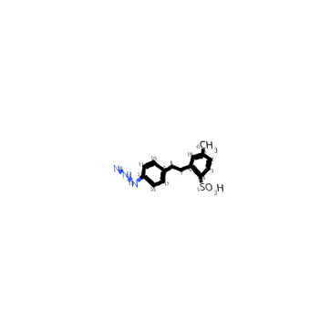 Cc1ccc(S(=O)(=O)O)c(CCc2ccc(N=[N+]=[N-])cc2)c1